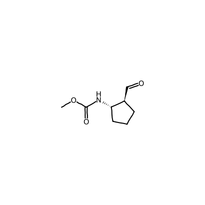 COC(=O)N[C@H]1CCC[C@@H]1C=O